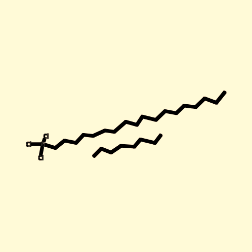 CCCCCCCC.CCCCCCCCCCCCCCCCCC[Si](Cl)(Cl)Cl